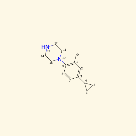 Cc1cc(C2CC2)ccc1N1CCNCC1